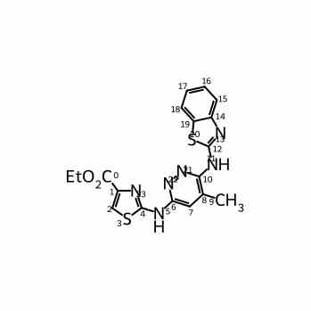 CCOC(=O)c1csc(Nc2cc(C)c(Nc3nc4ccccc4s3)nn2)n1